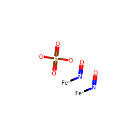 O=S(=O)([O-])[O-].O=[N][Fe+].O=[N][Fe+]